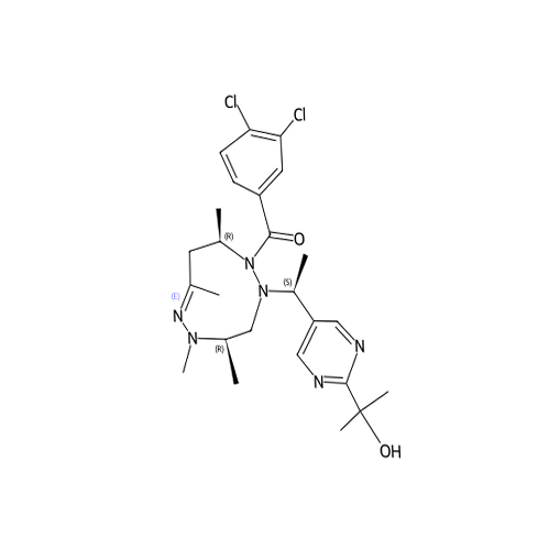 C/C1=N\N(C)[C@H](C)CN([C@@H](C)c2cnc(C(C)(C)O)nc2)N(C(=O)c2ccc(Cl)c(Cl)c2)[C@H](C)C1